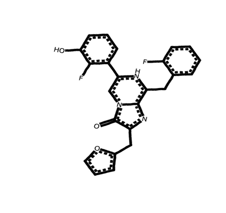 O=c1c(Cc2ccco2)nc2c(Cc3ccccc3F)[nH]c(-c3cccc(O)c3F)cn1-2